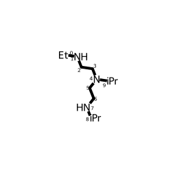 CCNCCN(CCNC(C)C)C(C)C